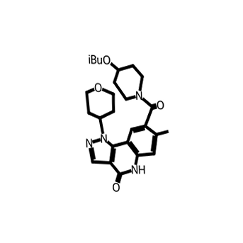 Cc1cc2[nH]c(=O)c3cnn(C4CCOCC4)c3c2cc1C(=O)N1CCC(OCC(C)C)CC1